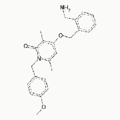 COc1ccc(Cn2c(C)cc(OCc3ccccc3CN)c(C)c2=O)cc1